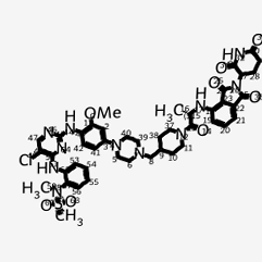 COc1cc(N2CCN(CC3CCN(C(=O)[C@H](C)Nc4cccc5c4C(=O)N(C4CCC(=O)NC4=O)C5=O)CC3)CC2)ccc1Nc1ncc(Cl)c(Nc2ccccc2N(C)S(C)(=O)=O)n1